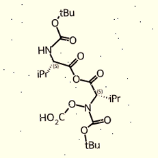 CC(C)[C@H](NC(=O)OC(C)(C)C)C(=O)OC(=O)[C@H](C(C)C)N(OC(=O)O)C(=O)OC(C)(C)C